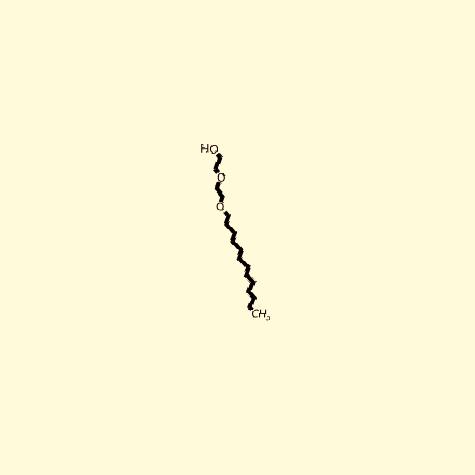 CCCCCCCCCCCCCOCCOCCO